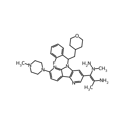 C/C(N)=C(\c1cnc2c3ccc(N4CCN(C)CC4)nc3n(C(CC3CCOCC3)c3ccccc3F)c2c1)N(C)N